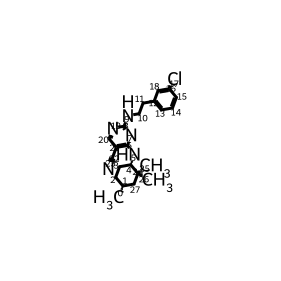 C[C@H]1CC[C@@H](Nc2nc(NCCc3cccc(Cl)c3)ncc2C#N)C(C)(C)C1